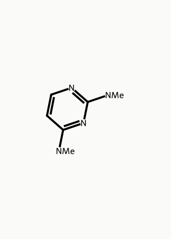 CNc1ccnc(NC)n1